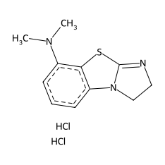 CN(C)c1cccc2c1SC1=NCCN12.Cl.Cl